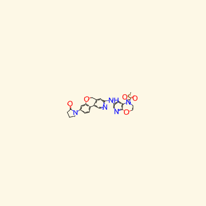 CS(=O)(=O)N1CCOc2ncc(Nc3cc4c(cn3)-c3ccc(N5CCCC5=O)cc3OC4)cc21